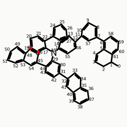 CC1CC=Cc2c(-c3cccc(-c4ccc(N(c5ccccc5-c5ccccc5)c5cc(-c6ccc7ccccc7c6)ccc5-c5ccc6ccccc6c5)cc4)c3)cccc21